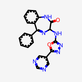 O=C1Nc2ccccc2C(c2ccccc2)=NC1Nc1nnc(-c2cncnc2)o1